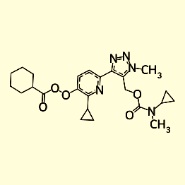 CN(C(=O)OCc1c(-c2ccc(OOC(=O)C3CCCCC3)c(C3CC3)n2)nnn1C)C1CC1